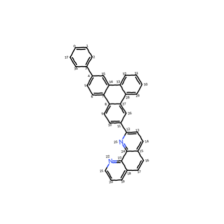 c1ccc(-c2ccc3c4ccc(-c5ccc6ccc7cccnc7c6n5)cc4c4ccccc4c3c2)cc1